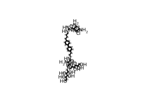 N=C(NCCCCc1ccc(-c2ccc(CCCNC(=O)C(N)CCN(C[C@H](O)[C@@H](O)[C@H](O)[C@H](O)CO)C[C@H](O)[C@@H](O)[C@H](O)[C@H](O)CO)cc2)cc1)NC(=O)c1nc(Cl)c(N)nc1N